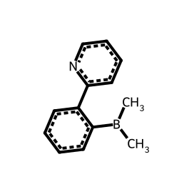 CB(C)c1ccccc1-c1ccccn1